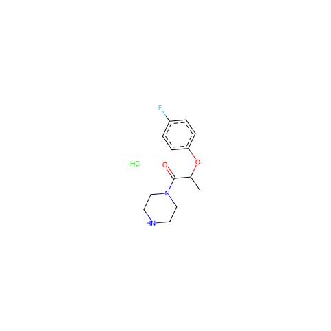 CC(Oc1ccc(F)cc1)C(=O)N1CCNCC1.Cl